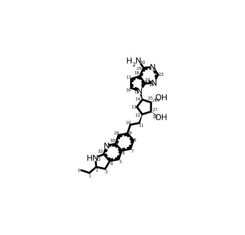 CCC1Cc2cc3ccc(CC[C@H]4C[C@@H](n5ccc6c(N)ncnc65)[C@H](O)[C@@H]4O)cc3nc2N1